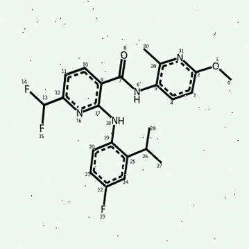 COc1ccc(NC(=O)c2ccc(C(F)F)nc2Nc2ccc(F)cc2C(C)C)c(C)n1